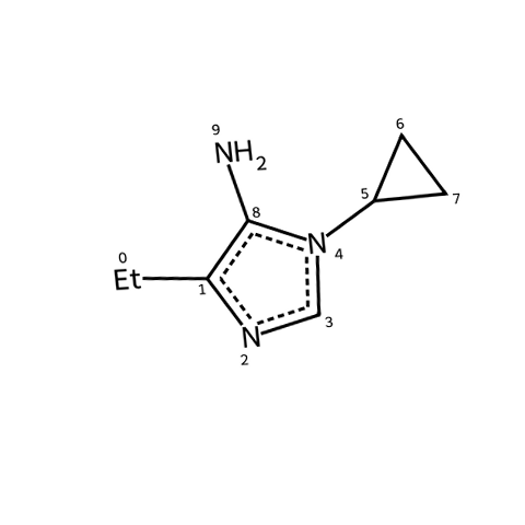 CCc1ncn(C2CC2)c1N